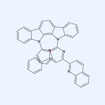 c1ccc(-c2cc(-c3ccc4ccccc4n3)nc(-n3c4ccccc4c4ccc5c6ccccc6n(-c6ccccc6)c5c43)n2)cc1